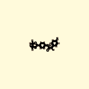 C[C@@H](C(=O)Nc1ccc(B2OC(C)(C)C(C)(C)O2)cc1)c1ccc(F)cc1